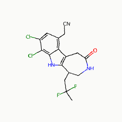 CC(F)(F)CC1CNC(=O)Cc2c1[nH]c1c(Cl)c(Cl)cc(CC#N)c21